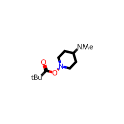 CNC1CCN(OC(=O)C(C)(C)C)CC1